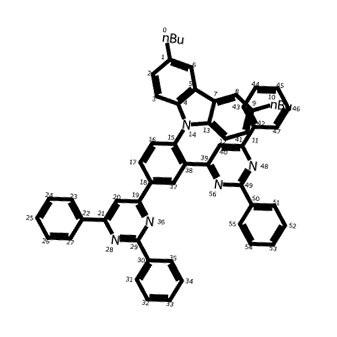 CCCCc1ccc2c(c1)c1cc(CCCC)ccc1n2-c1ccc(-c2cc(-c3ccccc3)nc(-c3ccccc3)n2)cc1-c1cc(-c2ccccc2)nc(-c2ccccc2)n1